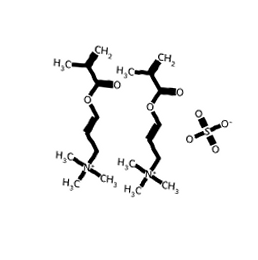 C=C(C)C(=O)OC=CC[N+](C)(C)C.C=C(C)C(=O)OC=CC[N+](C)(C)C.O=S(=O)([O-])[O-]